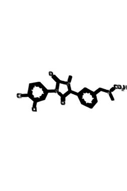 CN(Cc1cccc(C2C(=O)N(c3ccc(Cl)c(Cl)c3)C(=O)N2C)c1)C(=O)O